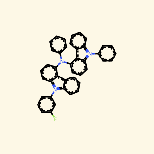 Fc1cccc(-n2c3ccccc3c3c(N(c4ccccc4)c4cccc5c4c4ccccc4n5-c4ccccc4)cccc32)c1